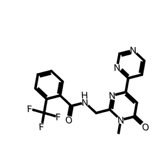 Cn1c(CNC(=O)c2ccccc2C(F)(F)F)nc(-c2ccncn2)cc1=O